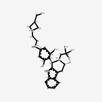 C[C@@H]1Cc2c([nH]c3ccccc23)[C@@H](c2c(F)cc(NCCN3CC(CF)C3)cc2F)N1CC(F)(F)F